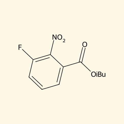 CC(C)COC(=O)c1cccc(F)c1[N+](=O)[O-]